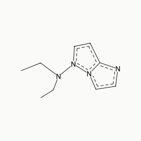 CCN(CC)n1ccc2nccn21